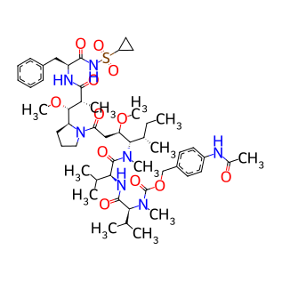 CC[C@H](C)[C@@H]([C@@H](CC(=O)N1CCC[C@H]1[C@H](OC)[C@@H](C)C(=O)N[C@@H](Cc1ccccc1)C(=O)NS(=O)(=O)C1CC1)OC)N(C)C(=O)[C@@H](NC(=O)[C@H](C(C)C)N(C)C(=O)OCc1ccc(NC(C)=O)cc1)C(C)C